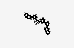 c1cc(-c2ccc3ccccc3c2)cc(-c2ccc3oc4c(-c5cccc(-c6ccc7ccccc7c6)c5)ncnc4c3c2)c1